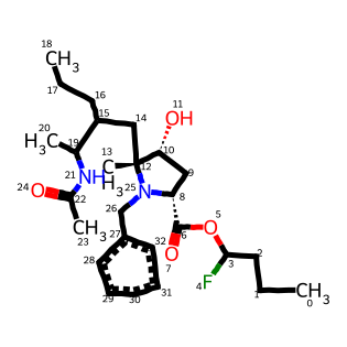 CCCC(F)OC(=O)[C@H]1C[C@@H](O)[C@@](C)(CC(CCC)C(C)NC(C)=O)N1Cc1ccccc1